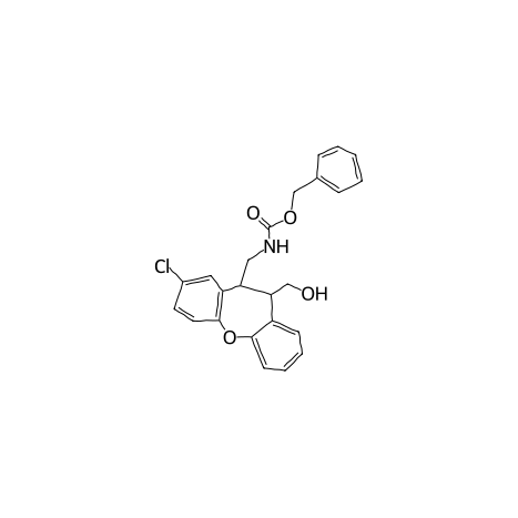 O=C(NCC1c2cc(Cl)ccc2Oc2ccccc2C1CO)OCc1ccccc1